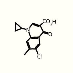 Cc1cc2c(cc1Cl)c(=O)c(C(=O)O)cn2C1CC1